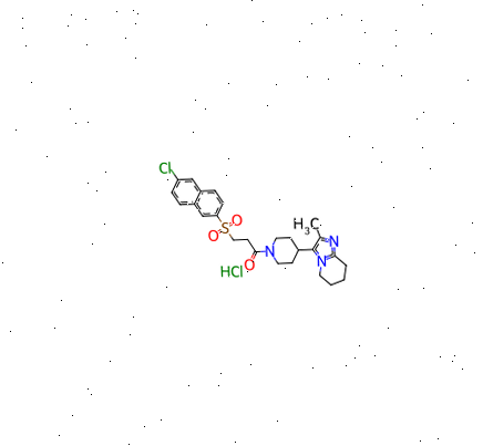 Cc1nc2n(c1C1CCN(C(=O)CCS(=O)(=O)c3ccc4cc(Cl)ccc4c3)CC1)CCCC2.Cl